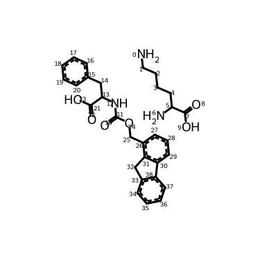 NCCCCC(N)C(=O)O.O=C(NC(Cc1ccccc1)C(=O)O)OCc1cccc2c1Cc1ccccc1-2